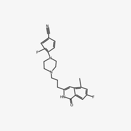 Cc1cc(F)cc2c(=O)[nH]c(CCCN3CCN(c4ccc(C#N)cc4F)CC3)cc12